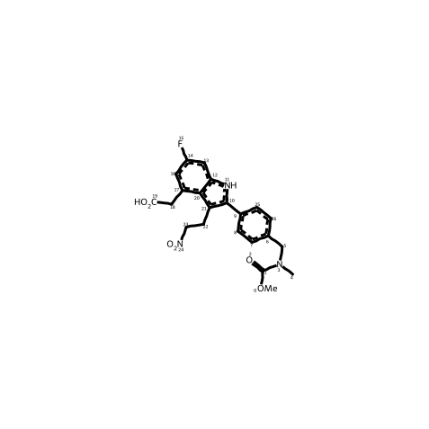 COC(=O)N(C)Cc1ccc(-c2[nH]c3cc(F)cc(CC(=O)O)c3c2CC[N+](=O)[O-])cc1